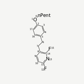 CCCCCOc1ccc(CCc2ccc(F)nc2F)cc1